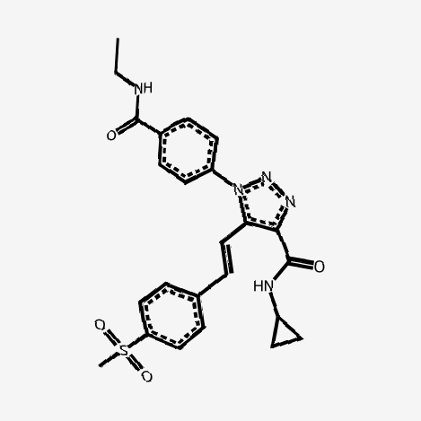 CCNC(=O)c1ccc(-n2nnc(C(=O)NC3CC3)c2C=Cc2ccc(S(C)(=O)=O)cc2)cc1